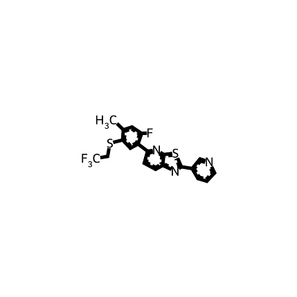 Cc1cc(F)c(-c2ccc3nc(-c4cccnc4)sc3n2)cc1SCC(F)(F)F